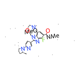 CNC(=O)c1cc(OC)c2c(nc(-c3ccc(N4[C@@H](C)CC[C@@H]4C)nc3)n2C[C@@H]2CN(C)CCO2)c1F